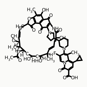 CO[C@H]1/C=C/O[C@@]2(C)Oc3c(C)c(O)c4c(c3C2=O)C(=O)C(N2CCC(C3CCCN(c5c(F)cn6c(=O)c(C(=O)O)cc(C7CC7)c6c5C)C3)C2)=C(NC(=O)/C(C)=C\C=C\[C@H](C)[C@H](O)C[C@@H](O)C[C@H](OC(C)=O)[C@@H]1C)C4=O